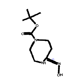 CC(C)(C)OC(=O)N1CCN/C(=N\O)CC1